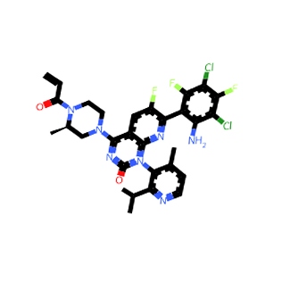 C=CC(=O)N1CCN(c2nc(=O)n(-c3c(C)ccnc3C(C)C)c3nc(-c4c(N)c(Cl)c(F)c(Cl)c4F)c(F)cc23)C[C@H]1C